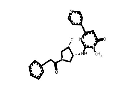 Cn1c(N[C@@H]2CN(C(=O)Cc3ccccc3)C[C@@H]2F)nc(-c2ccncc2)cc1=O